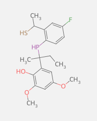 CCC(C)(Pc1ccc(F)cc1C(C)S)c1cc(OC)cc(OC)c1O